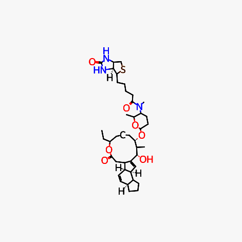 CCC1CCC[C@H](OC2CCC(N(C)C(=O)CCCCC3SCC4NC(=O)N[C@@H]43)C(C)O2)C(C)[C@H](O)C2=C[C@H]3C4CCC[C@H]4C=C[C@H]3C2CC(=O)O1